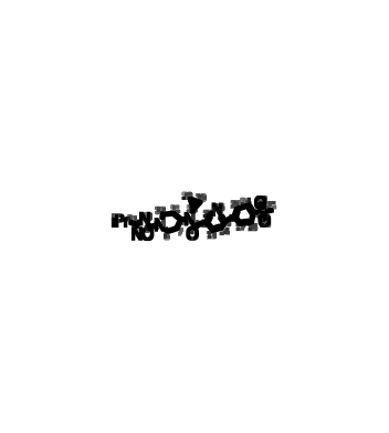 CC(C)c1noc(N2CCC(N(C(=O)c3ccc(-c4ccc(S(C)(=O)=O)cc4)nc3)C3CC3)CC2)n1